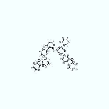 c1ccc(-c2nc(Cc3cccc4oc5ccc(-c6cccc7c6oc6ccccc67)cc5c34)nc(-c3ccc4c(c3)oc3ccccc34)n2)cc1